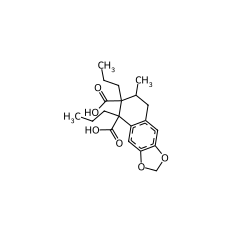 CCCC1(C(=O)O)c2cc3c(cc2CC(C)C1(CCC)C(=O)O)OCO3